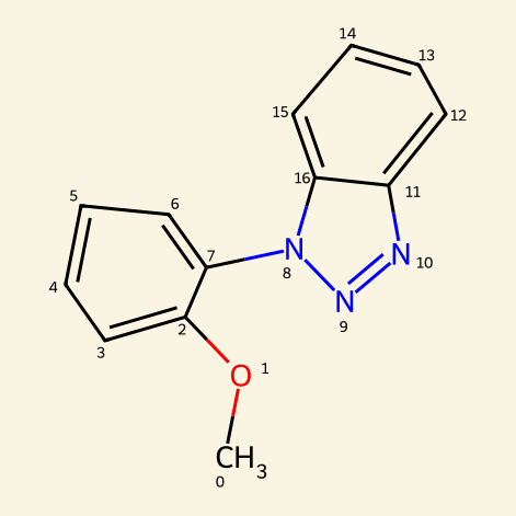 COc1ccccc1-n1nnc2ccccc21